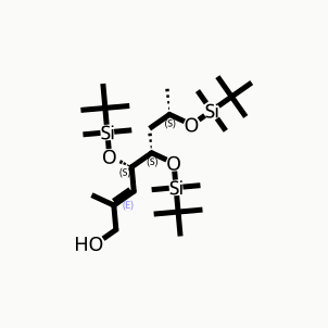 C/C(=C\[C@H](O[Si](C)(C)C(C)(C)C)[C@H](C[C@H](C)O[Si](C)(C)C(C)(C)C)O[Si](C)(C)C(C)(C)C)CO